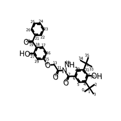 CC(C)(C)c1cc(C(=O)N(N)C(=O)COc2ccc(C(=O)c3ccccc3)c(O)c2)cc(C(C)(C)C)c1O